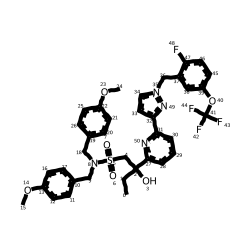 CCC(O)(CS(=O)(=O)N(Cc1ccc(OC)cc1)Cc1ccc(OC)cc1)c1cccc(-c2ccn(Cc3cc(OC(F)(F)F)ccc3F)n2)n1